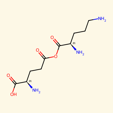 NCCC[C@@H](N)C(=O)OC(=O)CC[C@@H](N)C(=O)O